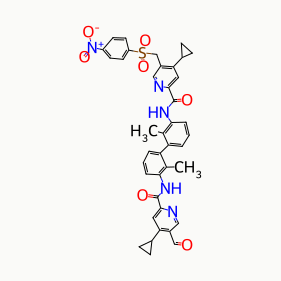 Cc1c(NC(=O)c2cc(C3CC3)c(C=O)cn2)cccc1-c1cccc(NC(=O)c2cc(C3CC3)c(CS(=O)(=O)c3ccc([N+](=O)[O-])cc3)cn2)c1C